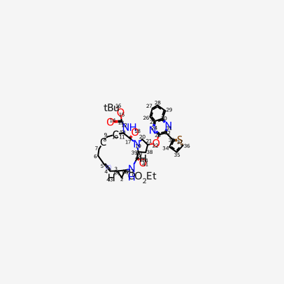 CCOC(=O)[C@@]12C[C@H]1/C=C\CCCCC[C@@H](NC(=O)OC(C)(C)C)C(=O)N1CC(Oc3nc4ccccc4nc3-c3cccs3)C[C@H]1C(=O)N2